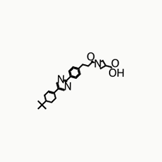 CC(C)(C)C1CC=C(c2cnc(-c3ccc(CCC(=O)N4CC(C(=O)O)C4)cc3)nc2)CC1